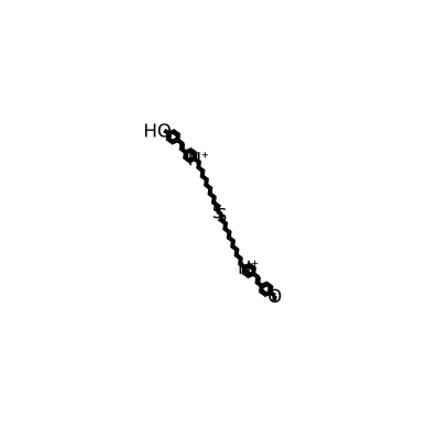 COc1ccc(/C=C/c2cc[n+](CCCCCCCCCCCSSCCCCCCCCCCC[n+]3ccc(/C=C/c4ccc(O)cc4)cc3)cc2)cc1